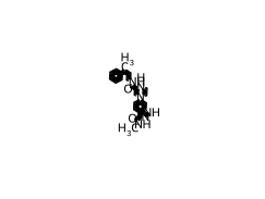 CNC(=O)c1n[nH]c2cc(N3CCNC(C(=O)NCCC(C)c4ccccc4)C3)ccc12